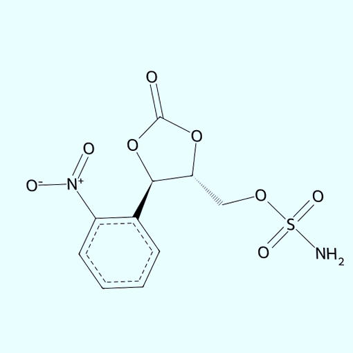 NS(=O)(=O)OC[C@H]1OC(=O)O[C@@H]1c1ccccc1[N+](=O)[O-]